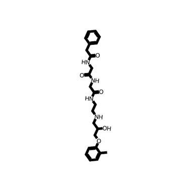 Cc1ccccc1OCC(O)CNCCNC(=O)CNC(=O)CNC(=O)Cc1ccccc1